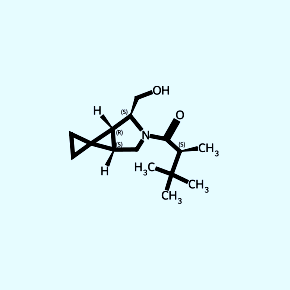 C[C@H](C(=O)N1C[C@H]2[C@@H]([C@H]1CO)C21CC1)C(C)(C)C